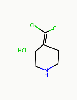 Cl.ClC(Cl)=C1CCNCC1